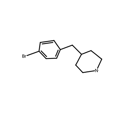 Brc1ccc(CC2CC[N]CC2)cc1